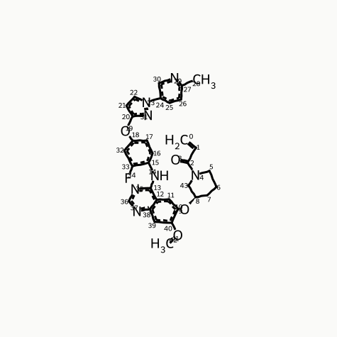 C=CC(=O)N1CCC[C@@H](Oc2cc3c(Nc4ccc(Oc5ccn(-c6ccc(C)nc6)n5)cc4F)ncnc3cc2OC)C1